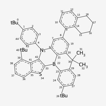 CC(C)(C)c1ccc(N2c3cc(-c4cccc5c4CCCC5)cc4c3B(c3cc(C(C)(C)C)ccc3C4(C)C)c3sc4cccc(C(C)(C)C)c4c32)cc1